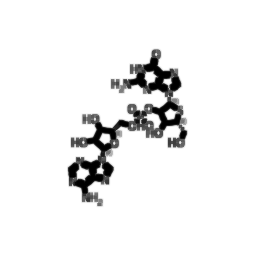 Nc1nc2c(ncn2[C@@H]2S[C@H](CO)C(O)C2OP(=O)(O)OC[C@H]2O[C@@H](n3cnc4c(N)ncnc43)C(O)C2O)c(=O)[nH]1